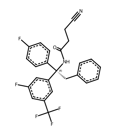 N#CCCC(=O)N[C@](Cc1ccccc1)(c1ccc(F)cc1)c1cc(F)cc(C(F)(F)F)c1